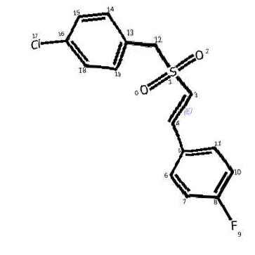 O=S(=O)(/C=C/c1ccc(F)cc1)Cc1ccc(Cl)cc1